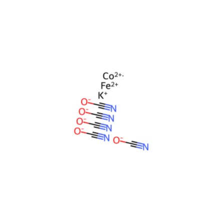 N#C[O-].N#C[O-].N#C[O-].N#C[O-].N#C[O-].[Co+2].[Fe+2].[K+]